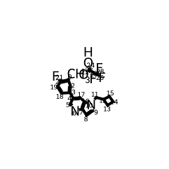 Cc1cc(-c2cnc3ccn(CC4CCC4)c3c2)ccc1F.O=C(O)C(F)(F)F